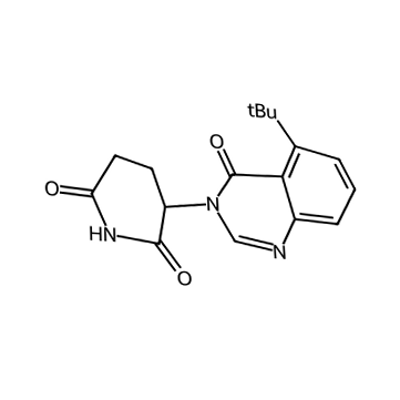 CC(C)(C)c1cccc2ncn(C3CCC(=O)NC3=O)c(=O)c12